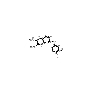 COc1cc2nc(Nc3ccc(F)c(Cl)c3)ncc2cc1OC(C)=O